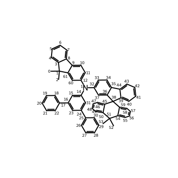 CC1(C)c2ccccc2-c2ccc(N(c3cc(-c4ccccc4)cc(-c4ccccc4)c3)c3ccc4c(c3)C3(c5ccccc5-4)c4ccccc4C(C)(C)c4ccccc43)cc21